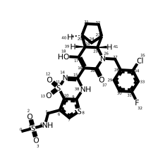 CS(=O)(=O)NCc1csc2c1S(=O)(=O)N=C(C1=C(O)[C@@H]3[C@H]4CCC(C4)[C@@H]3N(Cc3ccc(F)cc3Cl)C1=O)N2